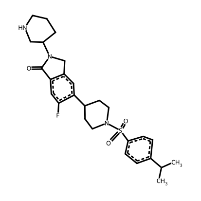 CC(C)c1ccc(S(=O)(=O)N2CCC(c3cc4c(cc3F)C(=O)N(C3CCCNC3)C4)CC2)cc1